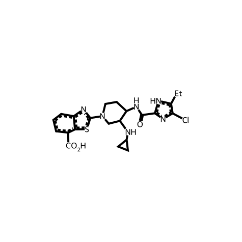 CCc1[nH]c(C(=O)NC2CCN(c3nc4cccc(C(=O)O)c4s3)CC2NC2CC2)nc1Cl